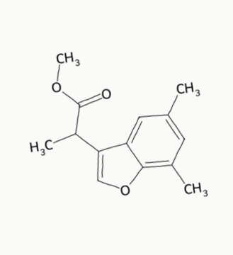 COC(=O)C(C)c1coc2c(C)cc(C)cc12